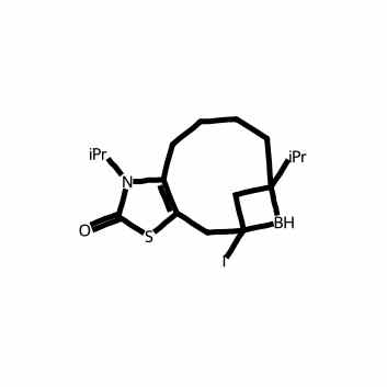 CC(C)n1c2c(sc1=O)CC1(I)BC(C(C)C)(CCCC2)C1